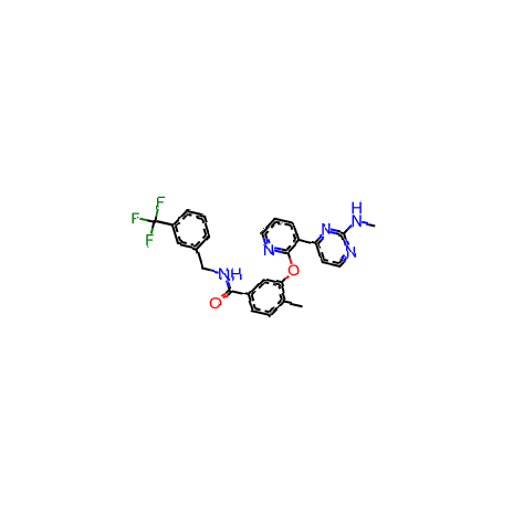 CNc1nccc(-c2cccnc2Oc2cc(C(=O)NCc3cccc(C(F)(F)F)c3)ccc2C)n1